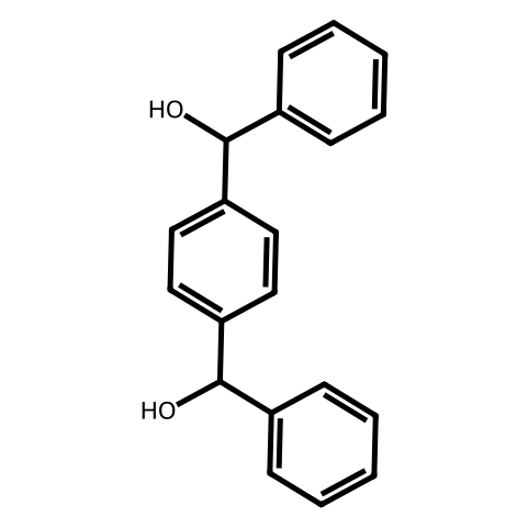 OC(c1ccccc1)c1ccc(C(O)c2ccccc2)cc1